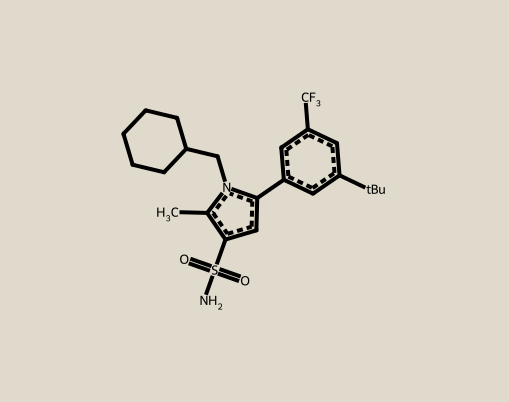 Cc1c(S(N)(=O)=O)cc(-c2cc(C(C)(C)C)cc(C(F)(F)F)c2)n1CC1CCCCC1